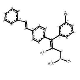 C/C(CN(C)C)=C(\c1ccc(C=Cc2ccccc2)cc1)c1cccc(O)c1